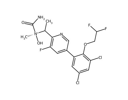 CC(c1ncc(-c2cc(Cl)cc(Cl)c2OCC(F)F)cc1F)[N@@+](C)(O)C(N)=O